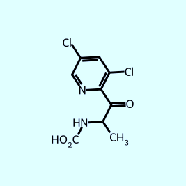 CC(NC(=O)O)C(=O)c1ncc(Cl)cc1Cl